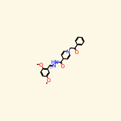 COc1ccc(OC)c(/C=N/NC(=O)C2C=CN(CC(=O)c3ccccc3)C=C2)c1